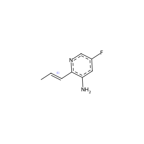 C/C=C/c1ncc(F)cc1N